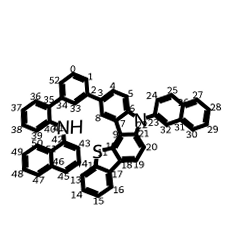 c1cc(-c2ccc3c(c2)c2c4sc5ccccc5c4ccc2n3-c2ccc3ccccc3c2)cc(-c2ccccc2Nc2cccc3ccccc23)c1